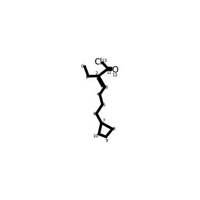 CC/C(=C\CCCC1CCC1)C(=O)Cl